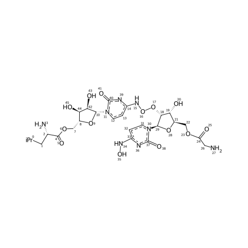 CC(C)C[C@H](N)C(=O)OC[C@H]1O[C@@H](n2ccc(NOO[C@@H]3[C@H](O)[C@@H](COC(=O)CN)O[C@H]3n3ccc(NO)nc3=O)nc2=O)[C@H](O)[C@@H]1O